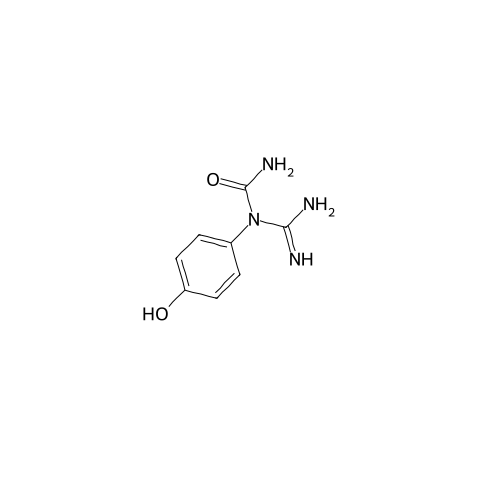 N=C(N)N(C(N)=O)c1ccc(O)cc1